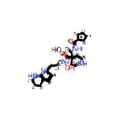 O=C(NC(C(=O)O)C1(C(=O)N(O)CCCc2ccc3c(n2)NCCC3)CCNCC1)C1CCCC1